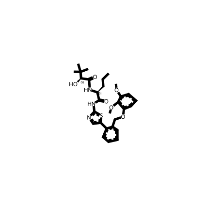 CCC[C@H](NC(=O)[C@@H](O)C(C)(C)C)C(=O)Nc1ncc(-c2ccccc2COc2cccc(OC)c2OC)s1